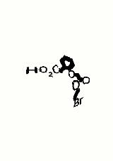 O=C(O)Cc1ccccc1OCC(=O)OCCBr